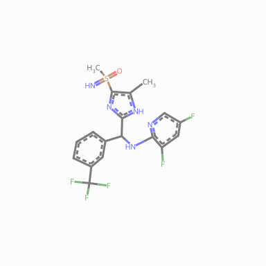 Cc1[nH]c(C(Nc2ncc(F)cc2F)c2cccc(C(F)(F)F)c2)nc1S(C)(=N)=O